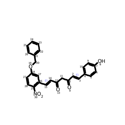 O=C(/C=C/c1ccc(O)cc1)CC(=O)/C=C/c1cc(OCc2ccccc2)ccc1[N+](=O)[O-]